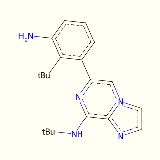 CC(C)(C)Nc1nc(-c2cccc(N)c2C(C)(C)C)cn2ccnc12